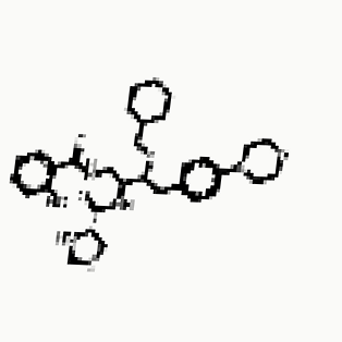 O=C(NCC(NC(=O)[C@@H]1CSCN1)C(Cc1ccc(N2CCOCC2)cc1)SCC1CCCCC1)c1ccccc1O